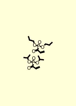 C=CC(=O)P(=O)(OC(C)C)OC(C)C.C=CC(=O)P(=O)(OCCC)OCCC